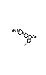 CC(=O)C1CC2(CCN(C3CCN(C(C)C)CC3)CC2)c2cc(F)ccc21